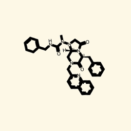 CN(C(=O)NCC1=CC=CCC1)N1CC(=O)N2[C@@H](Cc3ccccc3)C(=O)N(Cc3ccc4ccccc4n3)C[C@@H]21